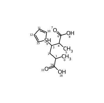 CC(CC(C(C)C(=O)O)[SH]1C=CC=C1)C(=O)O